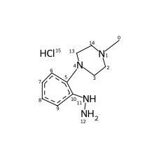 CN1CCN(c2ccccc2NN)CC1.Cl